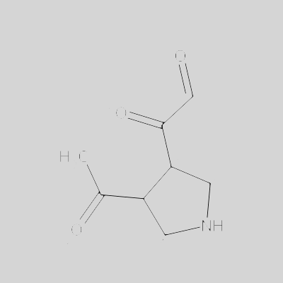 CC(=O)C1CNCC1C(=O)C=O